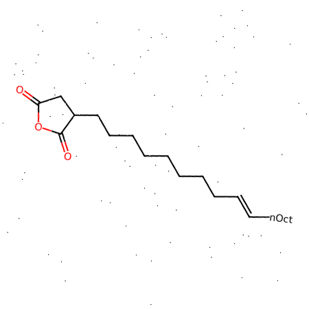 CCCCCCCCC=CCCCCCCCCC1CC(=O)OC1=O